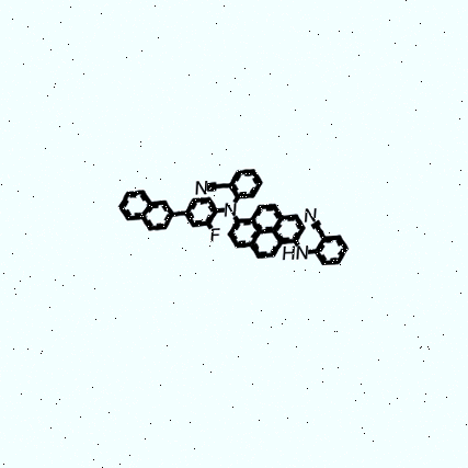 N#Cc1ccccc1Nc1ccc2ccc3c(N(c4ccc(-c5ccc6ccccc6c5)cc4F)c4ccccc4C#N)ccc4ccc1c2c43